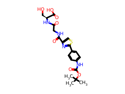 CC(C)(C)OC(=O)Nc1ccc(-c2nc(C(=O)NCC(=O)N[C@@H](CO)C(=O)O)cs2)cc1